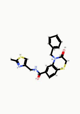 Cc1nc(CNC(=O)c2ccc3c(c2)N(Cc2ccccc2)C(=O)CS3)cs1